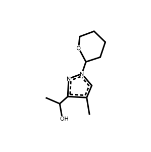 Cc1cn(C2CCCCO2)nc1C(C)O